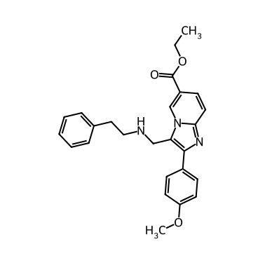 CCOC(=O)c1ccc2nc(-c3ccc(OC)cc3)c(CNCCc3ccccc3)n2c1